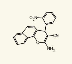 N#CC1=C(N)Oc2c(ccc3ccccc23)C1c1ccccc1[N+](=O)[O-]